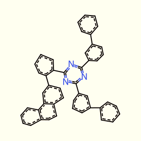 c1ccc(-c2cccc(-c3nc(-c4cccc(-c5ccccc5)c4)nc(-c4ccccc4-c4ccc5ccc6ccccc6c5c4)n3)c2)cc1